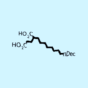 CCCCCCCCCCCCCCCCCCC(CCC(=O)O)C(=O)O